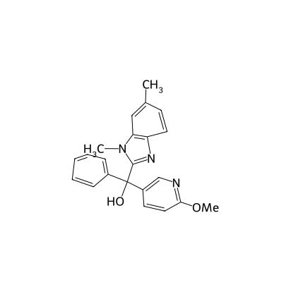 COc1ccc(C(O)(c2ccccc2)c2nc3ccc(C)cc3n2C)cn1